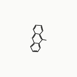 Cc1c2ccccc2[c]c2ccccc12